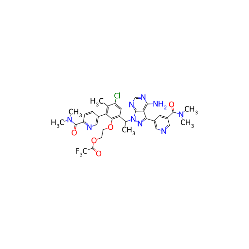 Cc1c(Cl)cc(C(C)n2nc(-c3cncc(C(=O)N(C)C)c3)c3c(N)ncnc32)c(OCCOC(=O)C(F)(F)F)c1-c1ccc(C(=O)N(C)C)nc1